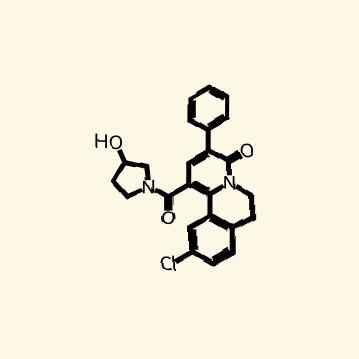 O=C(c1cc(-c2ccccc2)c(=O)n2c1-c1cc(Cl)ccc1CC2)N1CCC(O)C1